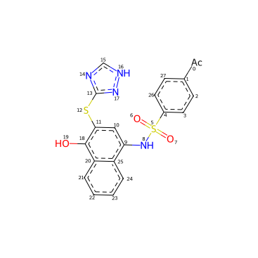 CC(=O)c1ccc(S(=O)(=O)Nc2cc(Sc3nc[nH]n3)c(O)c3ccccc23)cc1